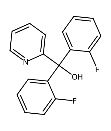 OC(c1ccccn1)(c1ccccc1F)c1ccccc1F